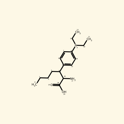 CCCCC(c1ccc(N(CC)CC)cc1)C(N)C(=O)O